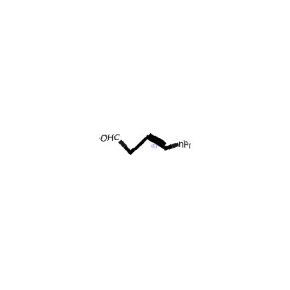 CCC/C=C/C[C]=O